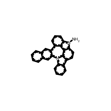 Nn1c2cccc3c4cc5ccccc5cc4n4c5ccccc5c5ccc1c(c32)c54